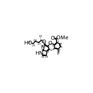 COC(=O)c1ccc(F)cc1Oc1cc2cc[nH]c2nc1O[C@@H](C)CCCO